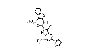 CCOC(=O)c1c(NC(=O)c2nn3c(C(F)(F)F)cc(-c4cccs4)nc3c2Cl)sc2c1CCC2